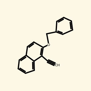 C#Cc1c(OCc2ccccc2)ccc2ccccc12